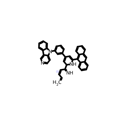 C=C/C=C\C(=N)C1C=C(c2cccc(-n3c4ccccc4c4cnccc43)c2)C=C(c2c3ccccc3cc3ccccc23)N1